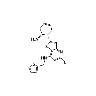 N[C@H]1CC=CC[C@@H]1c1cc2nc(Cl)cc(NCc3cccs3)c2s1